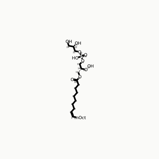 CCCCCCCC/C=C\CCCCCCCC(=O)OC[C@H](COP(=O)(O)OC[C@H](O)CO)OO